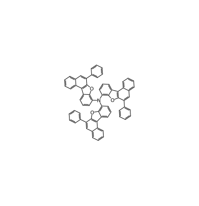 c1ccc(-c2cc3ccccc3c3c2oc2c(N(c4cccc5c4oc4c(-c6ccccc6)cc6ccccc6c45)c4cccc5c4oc4c(-c6ccccc6)cc6ccccc6c45)cccc23)cc1